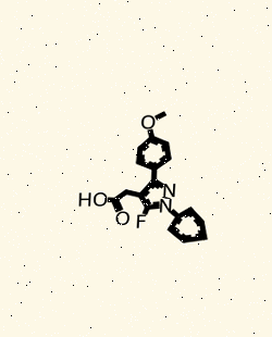 COc1ccc(-c2nn(-c3ccccc3)c(F)c2CC(=O)O)cc1